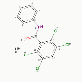 O=C(Pc1ccccc1)c1c(Cl)c(Cl)cc(Cl)c1Cl.[LiH]